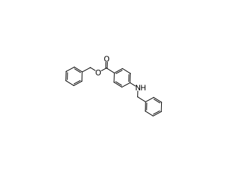 O=C(OCc1ccccc1)c1ccc(NCc2ccccc2)cc1